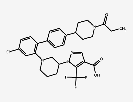 CCC(=O)N1CCC(c2ccc(-c3ccc(Cl)cc3N3CCCC(n4ncc(C(=O)O)c4C(F)(F)F)C3)cc2)CC1